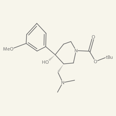 COc1cccc([C@@]2(O)CCN(C(=O)OC(C)(C)C)C[C@@H]2CN(C)C)c1